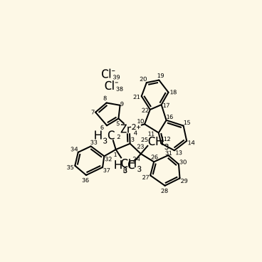 CC(C)([C](=[Zr+2]([C]1=CC=CC1)[CH]1c2ccccc2-c2ccccc21)C(C)(C)c1ccccc1)c1ccccc1.[Cl-].[Cl-]